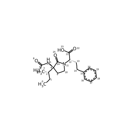 CC[C@H](C)[C@@]1(NC(C)=O)CCN([C@@H](CCc2ccccc2)C(=O)O)C1=O